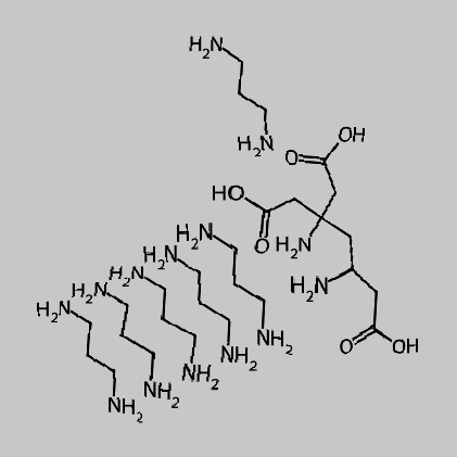 NC(CC(=O)O)CC(N)(CC(=O)O)CC(=O)O.NCCCN.NCCCN.NCCCN.NCCCN.NCCCN.NCCCN